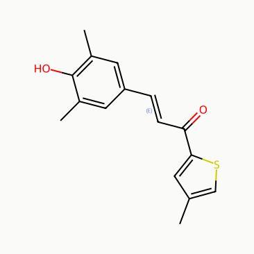 Cc1csc(C(=O)/C=C/c2cc(C)c(O)c(C)c2)c1